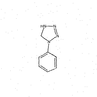 c1ccc(N2CNN=N2)cc1